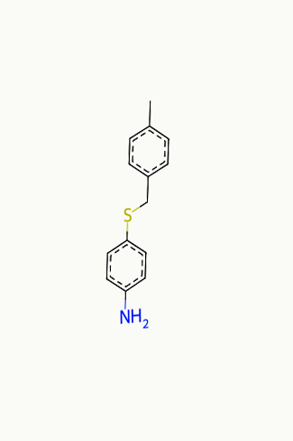 Cc1ccc(CSc2ccc(N)cc2)cc1